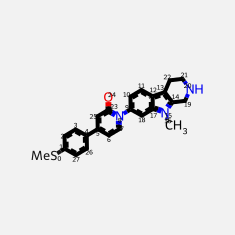 CSc1ccc(-c2ccn(-c3ccc4c5c(n(C)c4c3)CNCC5)c(=O)c2)cc1